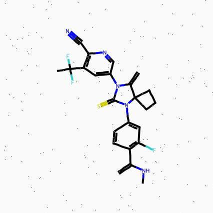 C=C(NC)c1ccc(N2C(=S)N(c3cnc(C#N)c(C(C)(F)F)c3)C(=C)C23CCC3)cc1F